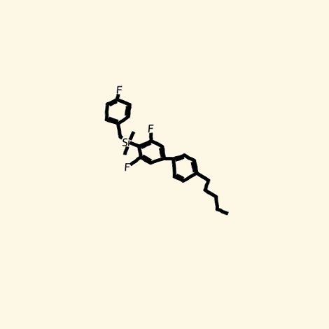 CCCCCc1ccc(-c2cc(F)c([Si](C)(C)Cc3ccc(F)cc3)c(F)c2)cc1